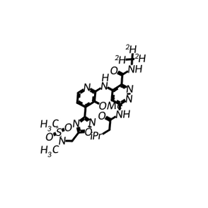 [2H]C([2H])([2H])NC(=O)c1nnc(NC(=O)CC(C)C)cc1Nc1nccc(-c2noc(CN(C)S(C)(=O)=O)n2)c1OC